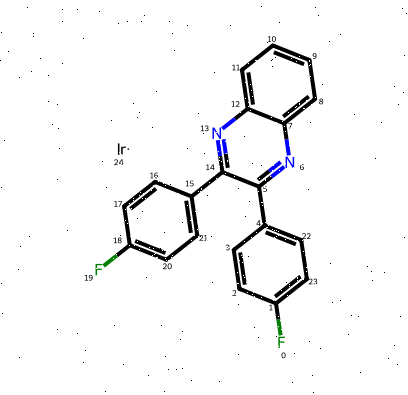 Fc1ccc(-c2nc3ccccc3nc2-c2ccc(F)cc2)cc1.[Ir]